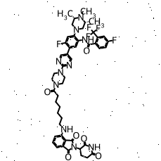 C[C@@H]1CN(c2cc(F)c(-c3cnc(N4CCN(C(=O)CCCCCCNc5cccc6c5C(=O)N(C5CCC(=O)NC5=O)C6=O)CC4)nc3)cc2NC(=O)c2ccc(F)cc2C(F)(F)F)C[C@H](C)N1C